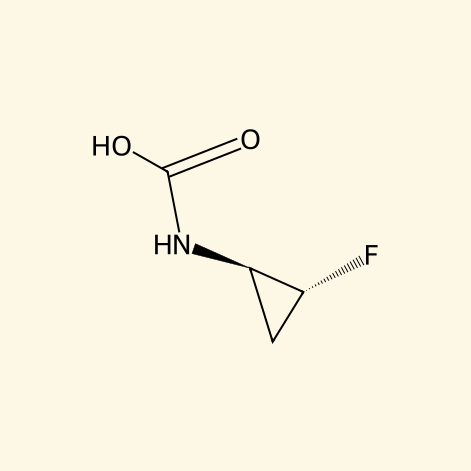 O=C(O)N[C@@H]1C[C@H]1F